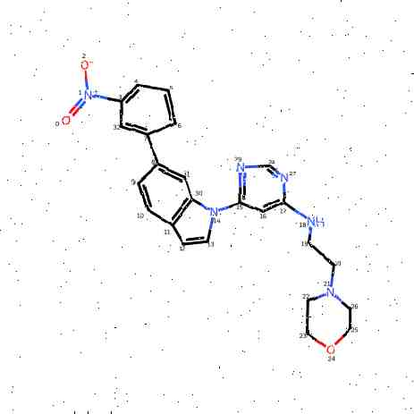 O=[N+]([O-])c1cccc(-c2ccc3ccn(-c4cc(NCCN5CCOCC5)ncn4)c3c2)c1